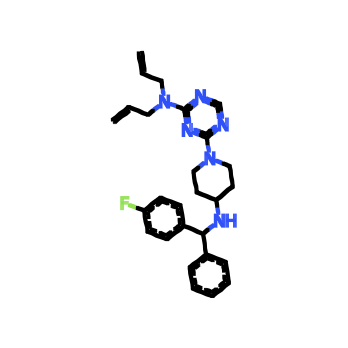 C=CCN(CC=C)c1ncnc(N2CCC(NC(c3ccccc3)c3ccc(F)cc3)CC2)n1